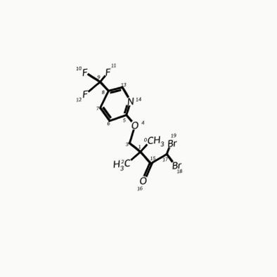 CC(C)(COc1ccc(C(F)(F)F)cn1)C(=O)C(Br)Br